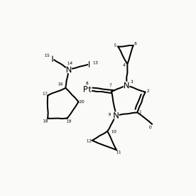 Cc1cn(C2CC2)[c](=[Pt])n1C1CC1.IN(I)C1CCCC1